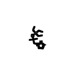 CC[Si](CC)(CC)OC(C)(C)Cn1cc[c]n1